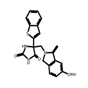 C=C1c2cc(OC)ccc2CN1CC1(c2cc3ccccc3s2)NC(=O)NC1=O